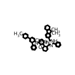 C[C@@H]1C=CC(C2=CC3c4ccccc4N(C4=CC=CC5C4OC4CCC=C(C6=NC(c7ccccc7)NC(c7ccc8c(c7)C(C)(C)C7=C8C=CCC7)N6C)C45)C3(C)C=C2)=CC1